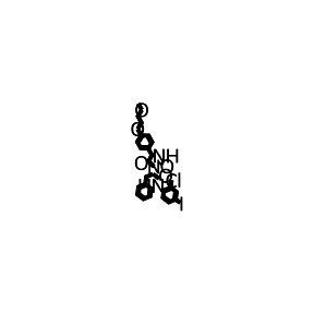 COCCOc1ccc(C2NC(=O)N(C(Cc3ccccc3)C(=O)Nc3ccc(I)cc3Cl)C2=O)cc1